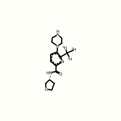 [2H]C([2H])([2H])c1nc(C(=O)N[C@@H]2CCOC2)ccc1N1CCNCC1